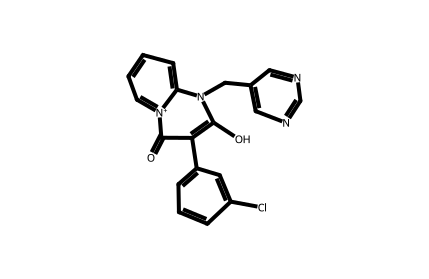 O=c1c(-c2cccc(Cl)c2)c(O)n(Cc2cncnc2)c2cccc[n+]12